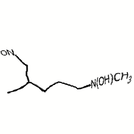 CC(CCCN(C)O)CN=O